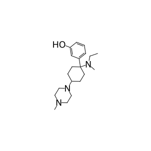 CCN(C)C1(c2cccc(O)c2)CCC(N2CCN(C)CC2)CC1